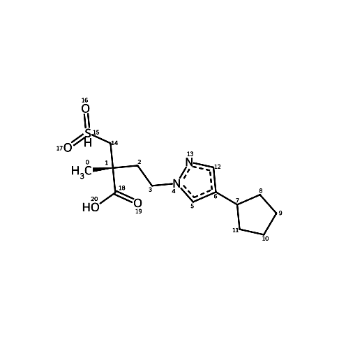 C[C@](CCn1cc(C2CCCC2)cn1)(C[SH](=O)=O)C(=O)O